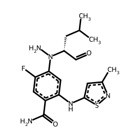 Cc1cc(Nc2cc(N(N)[C@@H](C=O)CC(C)C)c(F)cc2C(N)=O)sn1